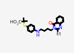 CCc1nc2ccccc2c(=O)n1CCCCNc1ccc(SC(C)(C)C(=O)O)cc1